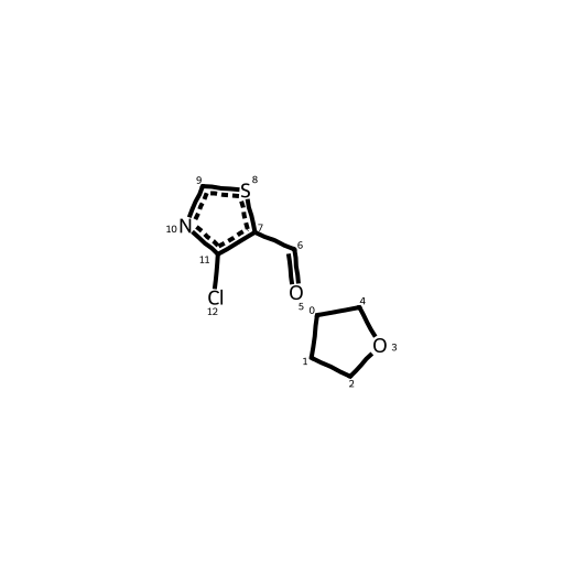 C1CCOC1.O=Cc1scnc1Cl